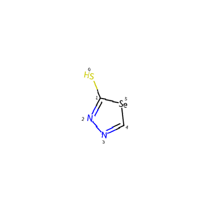 Sc1nnc[se]1